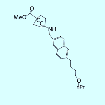 CCCOCCCCc1ccc2cc(CNC34CCC(C(=O)OC)(CC3)CC4)ccc2c1